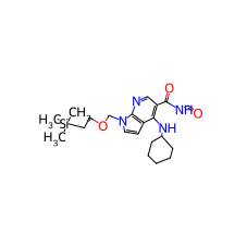 C[Si](C)(C)CCOCn1ccc2c(NC3CCCCC3)c(C(=O)NC=O)cnc21